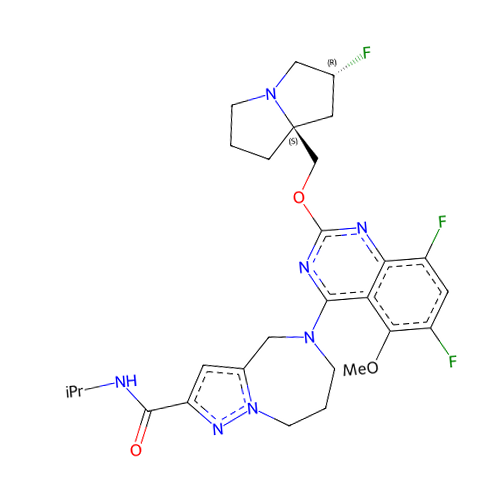 COc1c(F)cc(F)c2nc(OC[C@@]34CCCN3C[C@H](F)C4)nc(N3CCCn4nc(C(=O)NC(C)C)cc4C3)c12